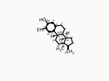 C=C1CC[C@H]2[C@@H]3CCc4cc(O)c(CC)cc4[C@H]3CC[C@]12C